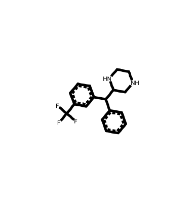 FC(F)(F)c1cccc(C(c2ccccc2)C2CNCCN2)c1